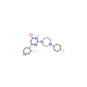 Cn1c(N2CCCN(c3ccc(F)cc3)CC2)nc(-c2ccncc2F)cc1=O